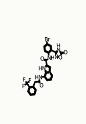 O=C(Cc1ccccc1C(F)(F)F)Nc1cccc2cc(C(=O)Nc3ccc(Br)cc3-c3noc(=O)[nH]3)[nH]c12